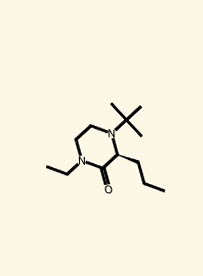 CCC[C@H]1C(=O)N(CC)CCN1C(C)(C)C